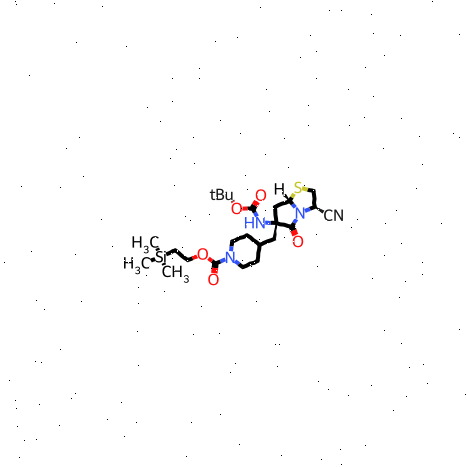 CC(C)(C)OC(=O)N[C@]1(CC2CCN(C(=O)OCC[Si](C)(C)C)CC2)C[C@@H]2SC[C@@H](C#N)N2C1=O